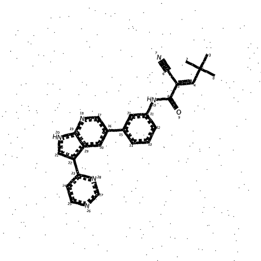 CC(C)(C)C=C(C#N)C(=O)Nc1cccc(-c2cnc3[nH]cc(-c4ccncn4)c3c2)c1